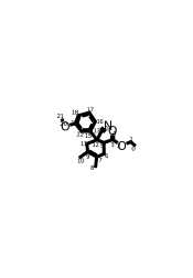 CCOC(=O)C1CC(C)=C(C)CC1(C#N)c1cccc(OC)c1